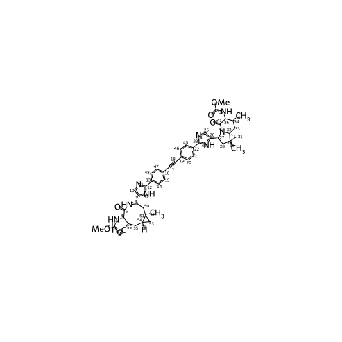 COC(=O)N[C@@H]1C(=O)N[C@H](c2cnc(-c3ccc(C#Cc4ccc(-c5ncc([C@@H]6C[C@@]7(C)C[C@]78CC(C)[C@H](NC(=O)OC)C(=O)N68)[nH]5)cc4)cc3)[nH]2)C[C@@]2(C)C[C@@H]2CC1C